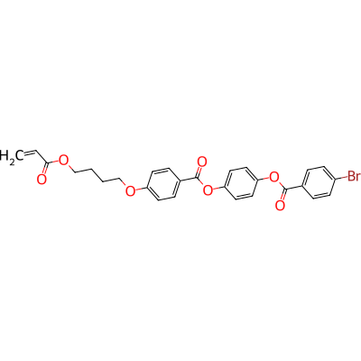 C=CC(=O)OCCCCOc1ccc(C(=O)Oc2ccc(OC(=O)c3ccc(Br)cc3)cc2)cc1